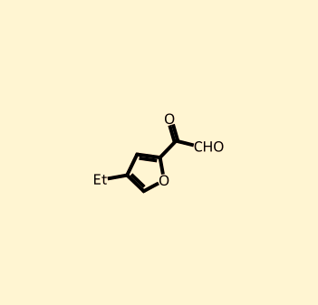 CCc1coc(C(=O)C=O)c1